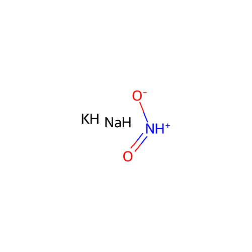 O=[NH+][O-].[KH].[NaH]